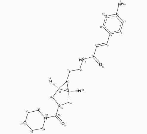 Nc1ccc(/C=C/C(=O)NCCC2[C@H]3CN(C(=O)N4CCOCC4)C[C@@H]23)cn1